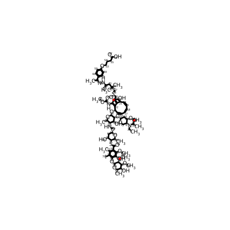 CCN(C(C)=O)[C@H]1CO[C@@H](O[C@H]2[C@H](O[C@H]3C#CC=CC#C[C@]4(O)CC(=O)C(NC(=O)OC)=C3C4=CCSSC(C)(C)CC(=O)NN=C(C)c3ccc(OCCCC(=O)O)cc3)O[C@H](C)[C@@H](NO[C@H]3C[C@H](O)[C@H](SC(=O)c4c(C)c(I)c(O[C@@H]5O[C@@H](C)[C@H](O)[C@@H](OC)[C@H]5O)c(OC)c4OC)[C@@H](C)O3)[C@H]2O)C[C@@H]1OC